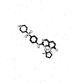 C[C@]1(O)CCC[C@@H]1n1c(=O)ccc2cnc(Nc3ccc(S(=O)(=O)C4CCNCC4)cc3)nc21